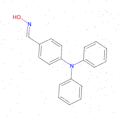 ON=Cc1ccc(N(c2ccccc2)c2ccccc2)cc1